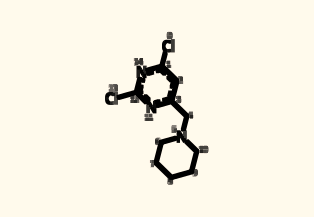 Clc1cc(CN2CCCCC2)nc(Cl)n1